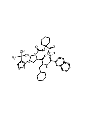 CC(C)(O)c1cnnn1[C@H]1C[C@@H](C(=O)NC2(C(=O)C(=O)O)CCCCC2)N(C(=O)C(CC2CCCCC2)NC(=O)c2ccc3ccccc3c2)C1